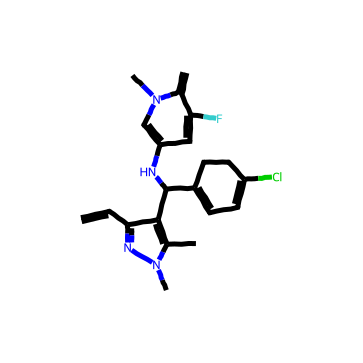 C=Cc1nn(C)c(C)c1C(NC1=CN(C)C(=C)C(F)=C1)C1=CC=C(Cl)CC1